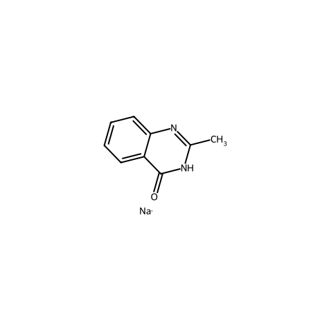 Cc1nc2ccccc2c(=O)[nH]1.[Na]